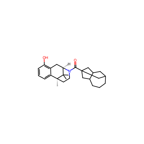 CC1(C)[C@H]2Cc3c(O)cccc3[C@]1(C)CCN2C(=O)C12CC3CCCC(C1)C(C3)C2